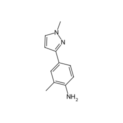 Cc1cc(-c2ccn(C)n2)ccc1N